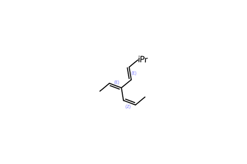 C\C=C/C(/C=C/C(C)C)=C\C